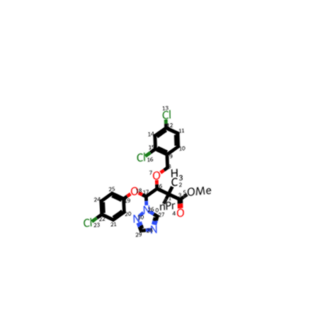 CCCC(C)(C(=O)OC)C(OCc1ccc(Cl)cc1Cl)C(Oc1ccc(Cl)cc1)n1cncn1